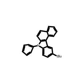 CC(C)(C)c1ccc2c(c1)c1c3ccccc3ccc1n2-c1ccccc1